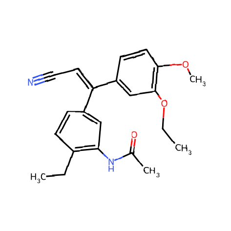 CCOc1cc(C(=CC#N)c2ccc(CC)c(NC(C)=O)c2)ccc1OC